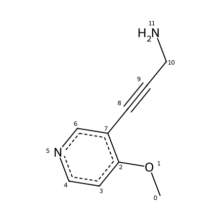 COc1ccncc1C#CCN